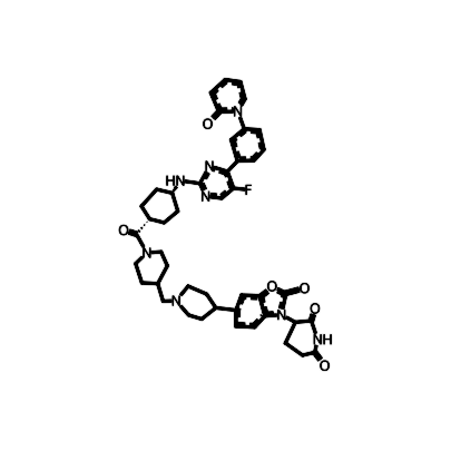 O=C1CCC(n2c(=O)oc3cc(C4CCN(CC5CCN(C(=O)[C@H]6CC[C@H](Nc7ncc(F)c(-c8cccc(-n9ccccc9=O)c8)n7)CC6)CC5)CC4)ccc32)C(=O)N1